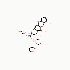 CCC(=O)N/N=C(/CO)[C@]1(O)Cc2c(O)c3c(c(O)c2[C@@H](O[C@H]2CC[C@H](O[C@@H]4CCCCO4)[C@H](C)O2)C1)C(=O)c1c(OC)cccc1C3=O